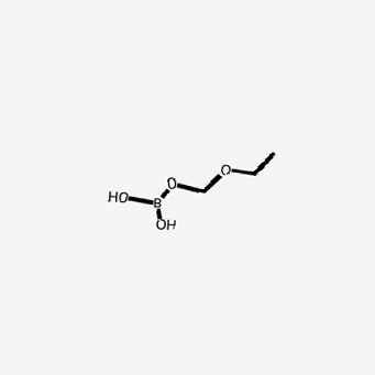 CCOCOB(O)O